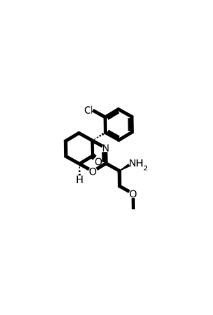 COC[C@H](N)C1=N[C@]2(c3ccccc3Cl)CCC[C@H](O1)C2=O